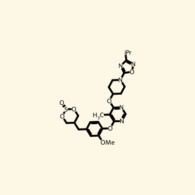 COc1cc(CC2COS(=O)OC2)ccc1Oc1ncnc(OC2CCN(c3nc(C(C)C)no3)CC2)c1C